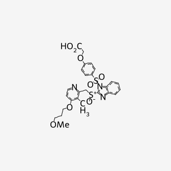 COCCCOc1ccnc(C[S+]([O-])c2nc3ccccc3n2S(=O)(=O)c2ccc(OCC(=O)O)cc2)c1C